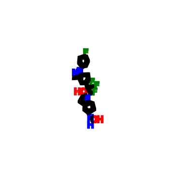 ONc1ccc2c(ccn2CC(O)(c2ccc3c(cnn3-c3ccc(F)cc3)c2)C(F)(F)F)c1